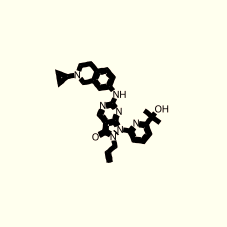 C=CCn1c(=O)c2cnc(Nc3ccc4c(c3)CN(C3CC3)CC4)nc2n1-c1cccc(C(C)(C)O)n1